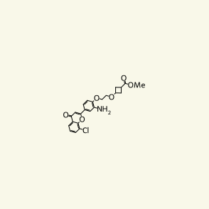 COC(=O)C1CC(OCCOc2ccc(-c3cc(=O)c4cccc(Cl)c4o3)cc2N)C1